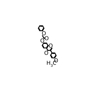 COc1ccc(-c2coc3cc(OC(=O)COc4ccccc4)ccc3c2=O)cc1